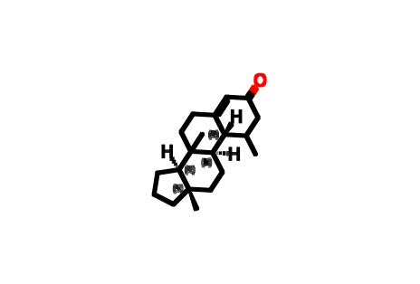 CC1CC(=O)C=C2CCC3(C)[C@H](CC[C@]4(C)CCC[C@@H]34)[C@H]21